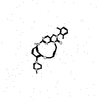 Cc1cccc(C)c1N1Cc2cnc3nc2N(C/C=C\COc2cc(ccc2N2CCN(C)CC2)N3)C1=O